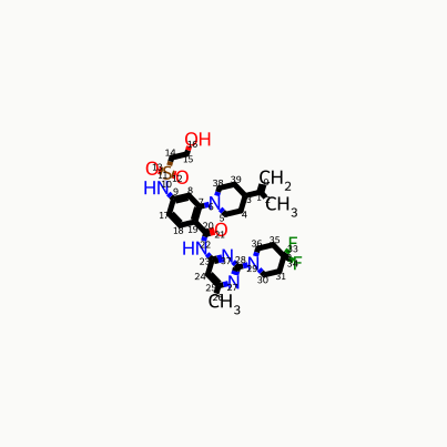 C=C(C)C1CCN(c2cc(NS(=O)(=O)CCO)ccc2C(=O)Nc2cc(C)nc(N3CCC(F)(F)CC3)n2)CC1